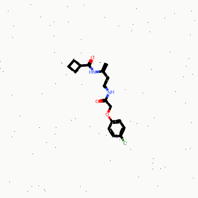 C=C(CCNC(=O)COc1ccc(Cl)cc1)NC(=O)C1CCC1